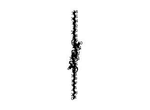 CCCCCCCCCCCCCOc1cc(-c2cc3sc(-c4cc(OCCCCCCCCCCCCC)c(C)s4)cc3s2)sc1C